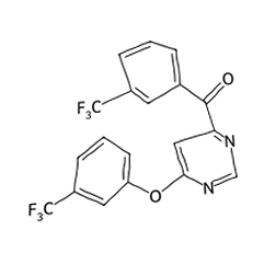 O=C(c1cccc(C(F)(F)F)c1)c1cc(Oc2cccc(C(F)(F)F)c2)ncn1